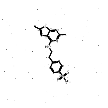 Cc1nc(NCCc2ccc(S(N)(=O)=O)cc2)c2cc(C)sc2n1